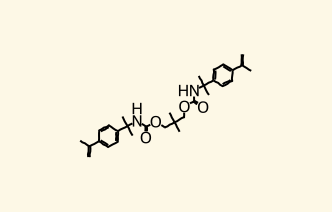 C=C(C)c1ccc(C(C)(C)NC(=O)OCC(C)(C)COC(=O)NC(C)(C)c2ccc(C(=C)C)cc2)cc1